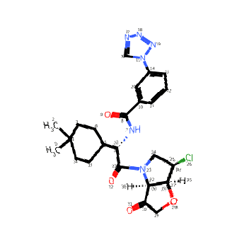 CC1(C)CCC([C@H](NC(=O)c2cccc(-n3cnnn3)c2)C(=O)N2C[C@@H](Cl)[C@H]3OCC(=O)[C@H]32)CC1